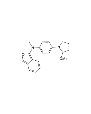 COC1CCCN1c1ccc(N(C)c2occ3ccccc23)cc1